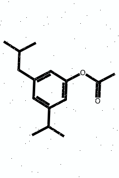 [CH2]C(C)c1cc(CC(C)C)cc(OC(C)=O)c1